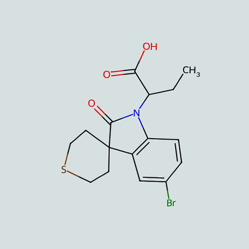 CCC(C(=O)O)N1C(=O)C2(CCSCC2)c2cc(Br)ccc21